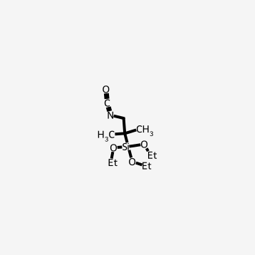 CCO[Si](OCC)(OCC)C(C)(C)CN=C=O